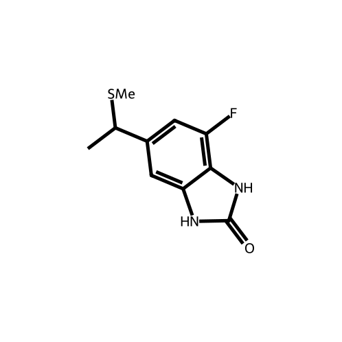 CSC(C)c1cc(F)c2[nH]c(=O)[nH]c2c1